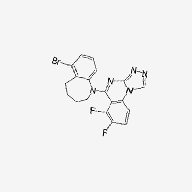 Fc1ccc2c(c(N3CCCCc4c(Br)cccc43)nc3nncn32)c1F